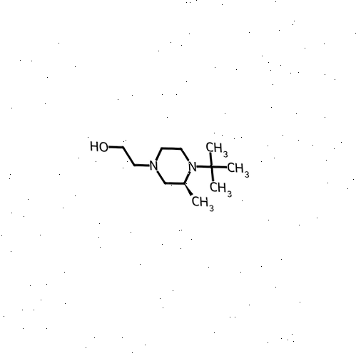 C[C@H]1CN(CCO)CCN1C(C)(C)C